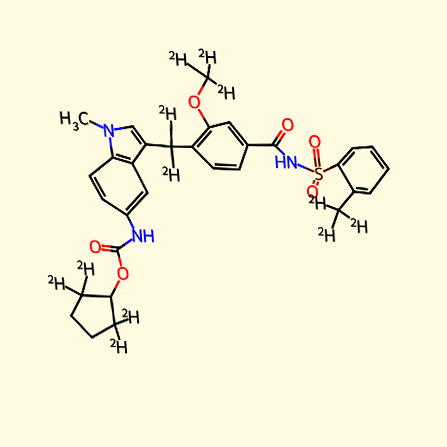 [2H]C([2H])([2H])Oc1cc(C(=O)NS(=O)(=O)c2ccccc2C([2H])([2H])[2H])ccc1C([2H])([2H])c1cn(C)c2ccc(NC(=O)OC3C([2H])([2H])CCC3([2H])[2H])cc12